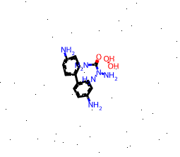 NC(=O)N(N)N.Nc1ccc(-c2ccc(N)cc2)cc1.OO